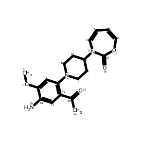 COc1cc(N2CCC(N3C=CC=COC3=O)CC2)c(C(C)=O)cc1N